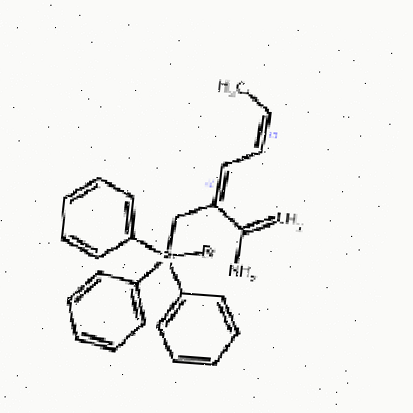 C=C(N)/C(=C\C=C/C)CP(Br)(c1ccccc1)(c1ccccc1)c1ccccc1